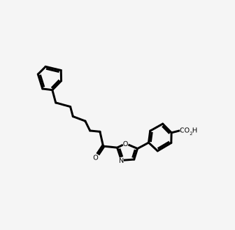 O=C(O)c1ccc(-c2cnc(C(=O)CCCCCCc3ccccc3)o2)cc1